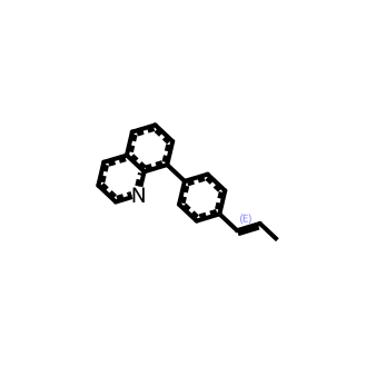 C/C=C/c1ccc(-c2cccc3cccnc23)cc1